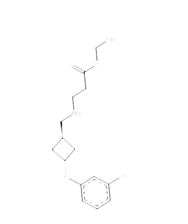 CCOC(=O)CCNC[C@H]1C[C@H](Oc2cccc(Cl)c2)C1